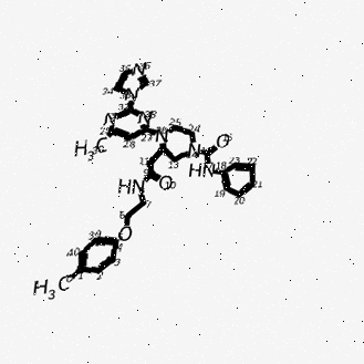 Cc1ccc(OCCNC(=O)CC2CN(C(=O)Nc3ccccc3)CCN2c2cc(C)nc(-n3ccnc3)n2)cc1